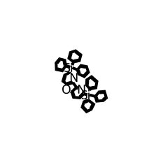 c1ccc([Si](c2ccccc2)(c2ccccc2)c2ccc3oc4ccc([Si](c5ccccc5)(c5ccccc5)c5ccccc5)nc4c3n2)cc1